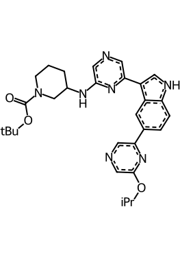 CC(C)Oc1cncc(-c2ccc3[nH]cc(-c4cncc(NC5CCCN(C(=O)OC(C)(C)C)C5)n4)c3c2)n1